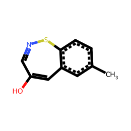 Cc1ccc2c(c1)C=C(O)C=NS2